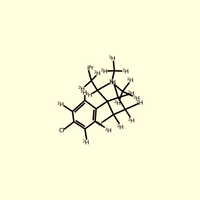 [2H]c1c([2H])c(C2(C([2H])(N(C([2H])([2H])[2H])C([2H])([2H])[2H])C([2H])([2H])C(C)C)C([2H])([2H])C([2H])([2H])C2([2H])[2H])c([2H])c([2H])c1Cl